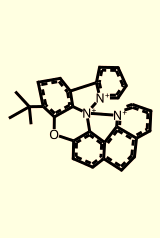 CC(C)(C)c1ccc2c3c1Oc1ccc4ccc5ccc[n+]6c5c4c1[N+]36[n+]1ccccc1-2